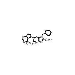 COc1ncnc2ccn(-c3cnc4nc(OC)n(Cc5ccccc5)c4c3)c12